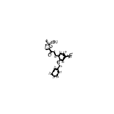 CC(O[Si](C)(C)C(C)(C)C)C(=O)C=Cc1ccc(F)cc1OCc1ccccc1